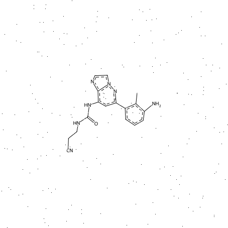 Cc1c(N)cccc1-c1cc(NC(=O)NCCC#N)c2nccn2n1